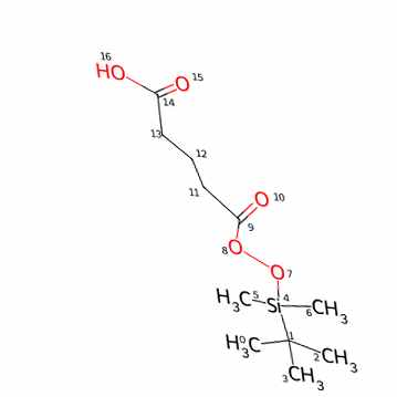 CC(C)(C)[Si](C)(C)OOC(=O)CCCC(=O)O